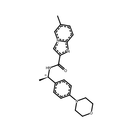 Cc1ccc2nc(C(=O)N[C@H](C)c3ccc(N4CCOCC4)cc3)cn2c1